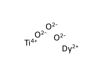 [Dy+2].[O-2].[O-2].[O-2].[Ti+4]